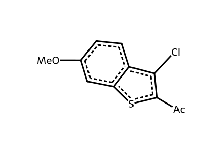 COc1ccc2c(Cl)c(C(C)=O)sc2c1